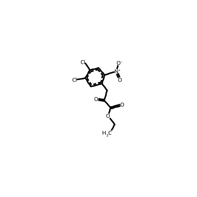 CCOC(=O)C(=O)Cc1cc(Cl)c(Cl)cc1[N+](=O)[O-]